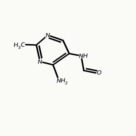 Cc1ncc(NC=O)c(N)n1